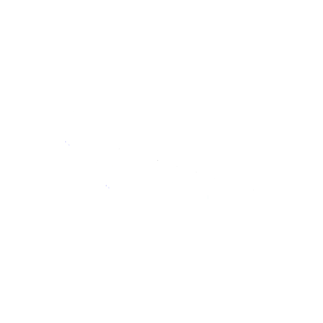 C[N+](C)(C)C.NS(=O)(=O)C(F)(F)C(F)(F)C(F)(F)C(F)(F)C(F)(F)C(F)(F)C(F)(F)C(F)(F)F.[Cl-]